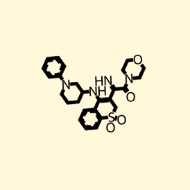 N=C(C(=O)N1CCOCC1)C1=C(NC2CCCN(c3ccccc3)C2)c2ccccc2S(=O)(=O)C1